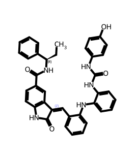 CC[C@@H](NC(=O)c1ccc2c(c1)/C(=C/c1ccccc1Nc1ccccc1NC(=O)Nc1ccc(O)cc1)C(=O)N2)c1ccccc1